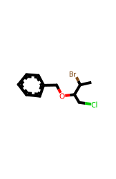 CC(Br)C(CCl)OCc1ccccc1